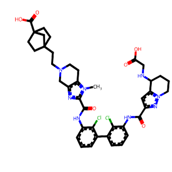 Cn1c(C(=O)Nc2cccc(-c3cccc(NC(=O)c4cc5n(n4)CCCC5NCC(=O)O)c3Cl)c2Cl)nc2c1CCN(CCC13CCC(C(=O)O)(CC1)C3)C2